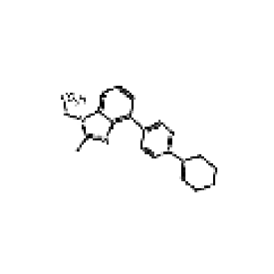 Cc1nc2c(-c3ccc(C4=CCCCC4)cc3)cccc2n1CC(=O)O